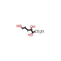 CCOC(=O)C(O)C(O)CCCO